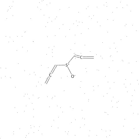 C=C=C[S+]([O-])C=C=C